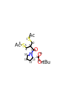 CC(=O)SCC(CSC(C)=O)C(=O)N1CCC[C@H]1C(=O)OC(C)(C)C